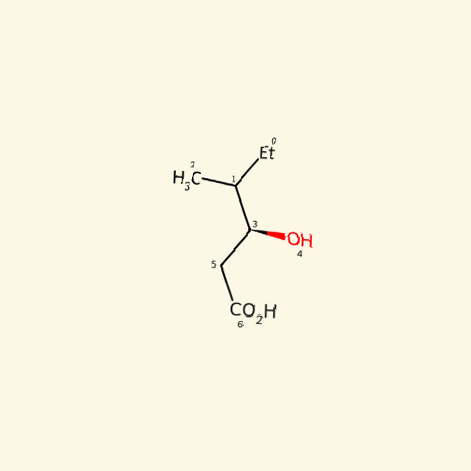 CCC(C)[C@@H](O)CC(=O)O